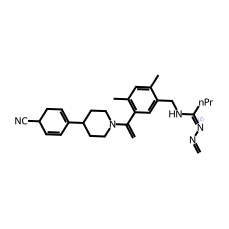 C=N/N=C(/CCC)NCc1cc(C(=C)N2CCC(C3=CCC(C#N)C=C3)CC2)c(C)cc1C